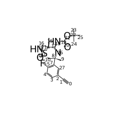 C#Cc1ccc(F)c([C@]2(C)C[S@](=N)(=O)C(C)(C)C(NC(=O)OC(C)(C)C)=N2)c1